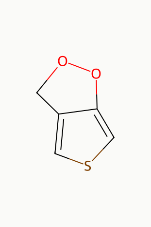 c1scc2c1COO2